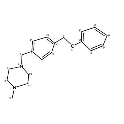 CN1CCN(Cc2ccc(COc3[c]cccc3)cc2)CC1